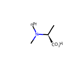 CCCN(C)[C@@H](C)C(=O)O